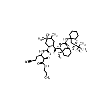 C#CCCC(NC(=O)[C@@H]1CC(C)(C)C(C)CN1C(=O)[C@@H](NC(=O)NC1(CS(=O)(=O)C(C)(C)C)CCCCC1)C1(C)CCCCC1)C(=O)C(=O)NCCC